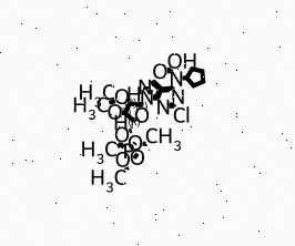 CCOP(=O)(OCC)C(C)OC[C@H]1O[C@@H](n2ncc3c(N(C(=O)O)C4CCCC4)nc(Cl)nc32)[C@@H]2OC(C)(C)O[C@@H]21